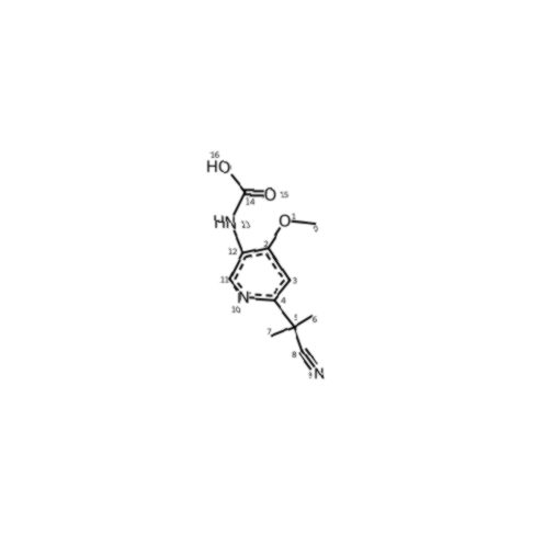 COc1cc(C(C)(C)C#N)ncc1NC(=O)O